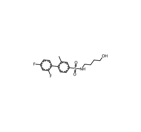 Cc1cc(S(=O)(=O)NCCCCO)ccc1-c1ccc(F)cc1F